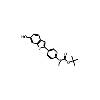 CN(C(=O)OC(C)(C)C)c1ccc(-c2cc3ccc(O)cc3s2)cn1